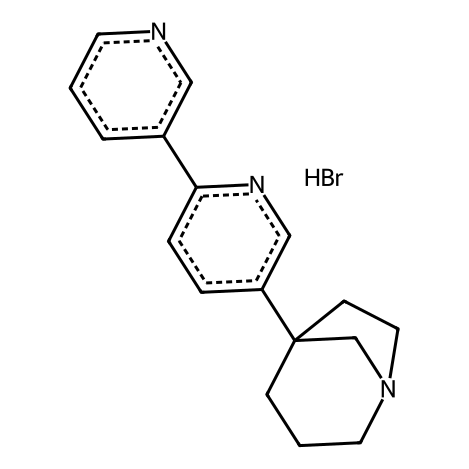 Br.c1cncc(-c2ccc(C34CCCN(CC3)C4)cn2)c1